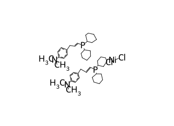 CN(C)c1ccc(CC=CP(C2CCCCC2)C2CCCCC2)cc1.CN(C)c1ccc(CC=CP(C2CCCCC2)C2CCCCC2)cc1.[Cl][Ni][Cl]